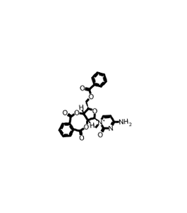 C[N+]1([C@@H]2O[C@H](COC(=O)c3ccccc3)[C@H]3OC(=O)c4ccccc4C(=O)O[C@H]32)C=CC(N)=NC1=O